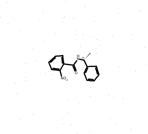 C[C@@H](NC(=O)c1ccccc1[N+](=O)[O-])c1ccccc1